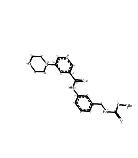 CC(C)(C)OC(=O)NCc1cccc(NC(=O)c2cncc(N3CCOCC3)c2)c1